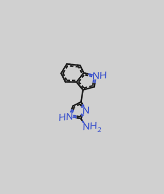 Nc1nc(-c2c[nH]c3ccccc23)c[nH]1